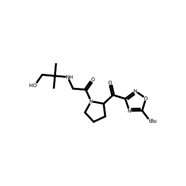 CC(C)(CO)NCC(=O)N1CCCC1C(=O)c1noc(C(C)(C)C)n1